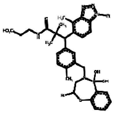 CCC1CN(Cc2cc(C(c3ccc4c(nnn4CC)c3C)C(C)(C)C(=O)NCCC(=O)O)ccc2C)S(O)(O)c2ccccc2O1